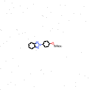 CCCCCCOc1ccc(-n2nc3ccccc3n2)cc1